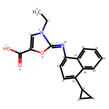 CCn1cc(C(=O)O)o/c1=N\c1ccc(C2CC2)c2ccccc12